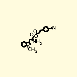 Cn1cc(C[C@H](N)C(=O)OC(=O)C=Cc2ccc(C#N)cc2)c2ccccc21